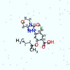 CCC[C@H](C)Oc1cc(-n2nc3n(c2=O)CCOC3)c(F)cc1C(=O)O